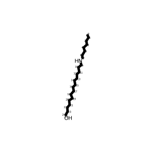 CCCCCCCCNCCCCCCCCCCCCCCCCO